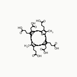 CC1=C(CCC(=O)O)c2cc3[nH]c(cc4nc(cc5[nH]c(cc1n2)c(CCC(=O)O)c5CC(=O)O)C(CCC(=O)O)=C4C)c(CCC(=O)O)c3CC(=O)O